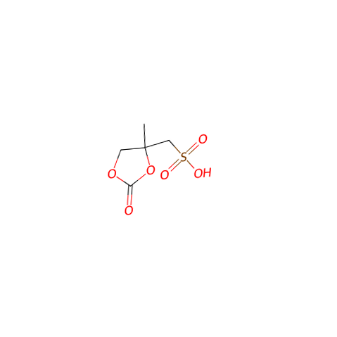 CC1(CS(=O)(=O)O)COC(=O)O1